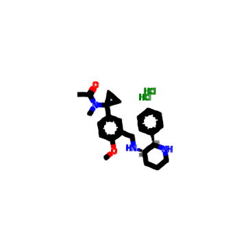 COc1ccc(C2(N(C)C(C)=O)CC2)cc1CN[C@H]1CCCN[C@H]1c1ccccc1.Cl.Cl